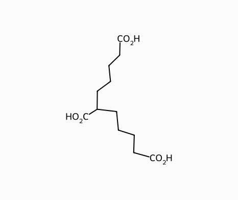 O=C(O)CCCCC(CCCCC(=O)O)C(=O)O